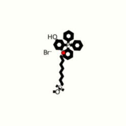 CO[Si](C)(C)CCCCCCCCOc1ccc(O)cc1[P+](c1ccccc1)(c1ccccc1)c1ccccc1.[Br-]